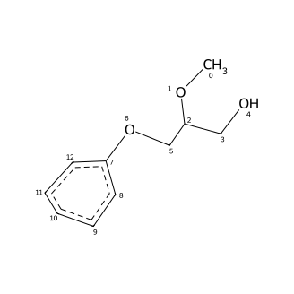 COC(CO)COc1ccccc1